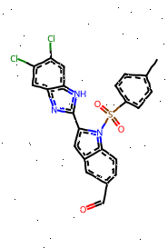 Cc1ccc(S(=O)(=O)n2c(-c3nc4cc(Cl)c(Cl)cc4[nH]3)cc3cc(C=O)ccc32)cc1